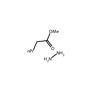 CCCCC(=O)OC.NN